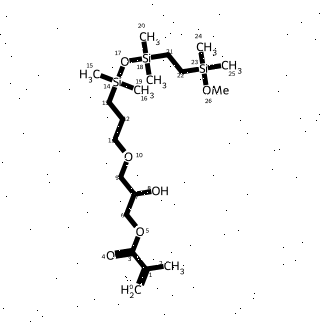 C=C(C)C(=O)OCC(O)COCCC[Si](C)(C)O[Si](C)(C)CC[Si](C)(C)OC